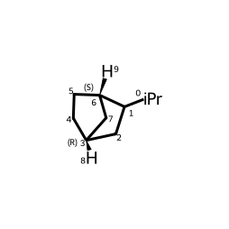 CC(C)C1C[C@@H]2CC[C@H]1C2